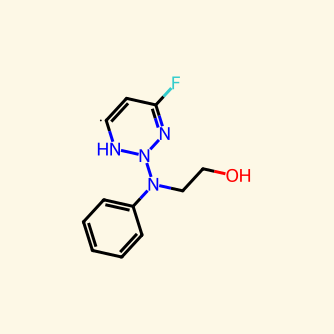 OCCN(c1ccccc1)N1N=C(F)C=[C]N1